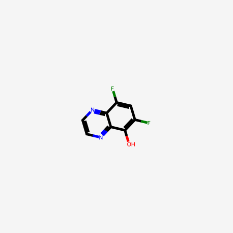 Oc1c(F)cc(F)c2nccnc12